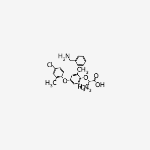 Cc1cc(Cl)ccc1Oc1cc(C)c(OC(C)C(=O)O)c(C)c1.NCc1ccccc1